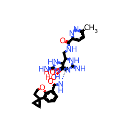 Cc1ccc(C(=O)NCC2NC(=N)N3C[C@H](NC(=O)c4cccc5c4OCCC54CC4)C(O)(O)C34NC(=N)NC24)nn1